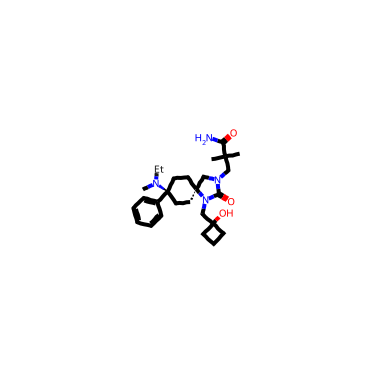 CCN(C)[C@]1(c2ccccc2)CC[C@]2(CC1)CN(CC(C)(C)C(N)=O)C(=O)N2CC1(O)CCC1